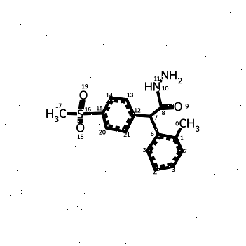 Cc1ccccc1C(C(=O)NN)c1ccc(S(C)(=O)=O)cc1